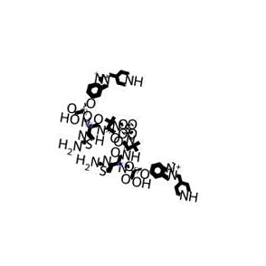 C[n+]1c2ccc(OC[C@H](O/N=C(\C(=O)N[C@@H]3C(=O)N(OS(=O)(=O)ON4C(=O)[C@@H](NC(=O)/C(=N\O[C@@H](COc5ccc6c(c5)cn(CC5CCNCC5)[n+]6C)C(=O)O)c5csc(N)n5)C4(C)C)C3(C)C)c3csc(N)n3)C(=O)O)cc2cn1CC1CCNCC1